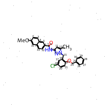 COc1ccc2cc(C(=O)Nc3cc(C)n(Cc4cc(Cl)ccc4OCc4ccccc4)n3)ccc2c1